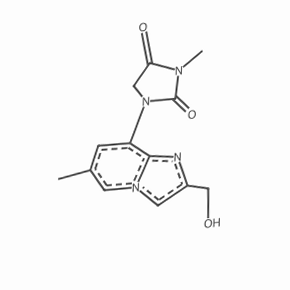 Cc1cc(N2CC(=O)N(C)C2=O)c2nc(CO)cn2c1